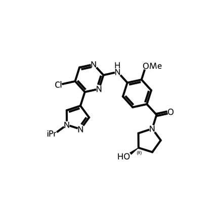 COc1cc(C(=O)N2CC[C@@H](O)C2)ccc1Nc1ncc(Cl)c(-c2cnn(C(C)C)c2)n1